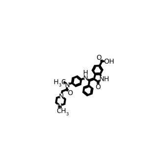 CN1CCN(CC(=O)N(C)c2ccc(NC(=C3C(=O)Nc4cc(C(=O)O)ccc43)c3ccccc3)cc2)CC1